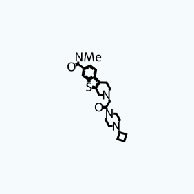 CNC(=O)c1ccc2c3c(sc2c1)CN(CC(=O)N1CCN(C2CCC2)CC1)CC3